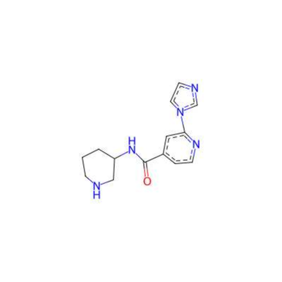 O=C(NC1CCCNC1)c1ccnc(-n2ccnc2)c1